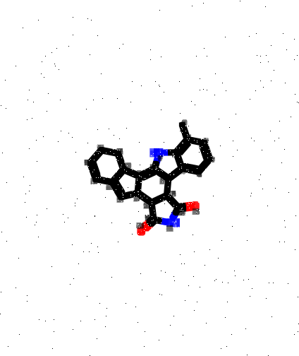 Cc1cccc2c1NC1=C3C4CCC=CC4=CC3C3C(=O)NC(=O)C3C12